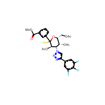 COC(=O)c1cccc([C@]2(S)O[C@H](COC(C)=O)[C@H](OC(C)=O)[C@H](n3cc(-c4cc(F)c(F)c(F)c4)nn3)[C@H]2OC(C)=O)c1